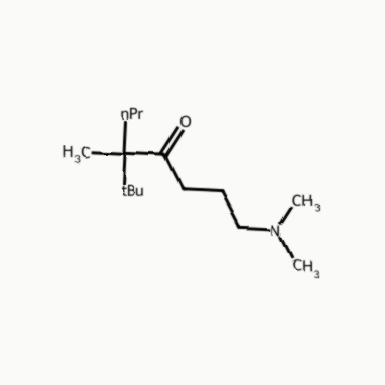 CCCC(C)(C(=O)CCCN(C)C)C(C)(C)C